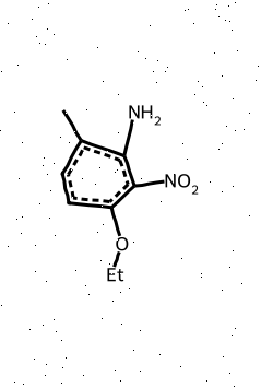 CCOc1ccc(C)c(N)c1[N+](=O)[O-]